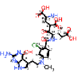 CN(CCc1c[nH]c2nc(N)nc(O)c12)c1ccc(C(=O)N[C@@H](CCC(=O)O)C(=O)C(C[C@H](N)C(=O)O)C(=O)O)c(Cl)c1